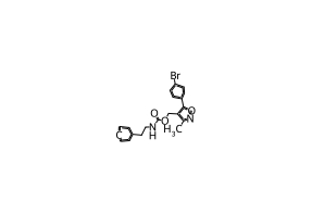 Cc1noc(-c2ccc(Br)cc2)c1COC(=O)NCCc1ccccc1